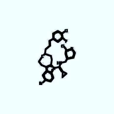 Fc1cc(/C=C/CC2CCCc3c(n(C(NCc4ccnc(Cl)c4)=C4CC4)c4ccc(Br)cc34)CC2)ccc1Cl